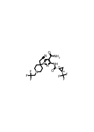 N#CCC1(n2cc(C(N)=O)c(NC(=O)[C@@H]3C[C@H]3C(F)(F)F)n2)CCN(CC(F)(F)F)CC1